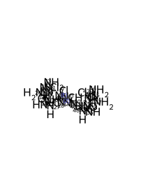 C=C(/N=C(\N=C(/N)Cl)N1CCC(NC(=N)NC(=O)c2nc(Cl)c(N)nc2N)CC1)N1CCC(NC(=N)NC(=O)c2nc(Cl)c(N)nc2N)CC1